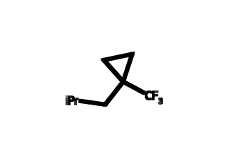 CC(C)CC1(C(F)(F)F)CC1